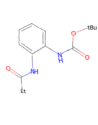 CCC(=O)Nc1ccccc1NC(=O)OC(C)(C)C